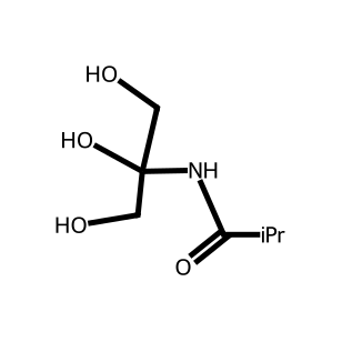 CC(C)C(=O)NC(O)(CO)CO